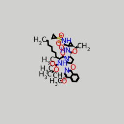 C=CCCCC[C@@H](C)[C@H](NC(=O)OC(C)(C)C)C(=O)N1C[C@H](Oc2ncc(OC)c3ccccc23)C[C@H]1C(=O)N[C@]1(C(=O)NS(=O)(=O)C2CC2)C[C@H]1C=C